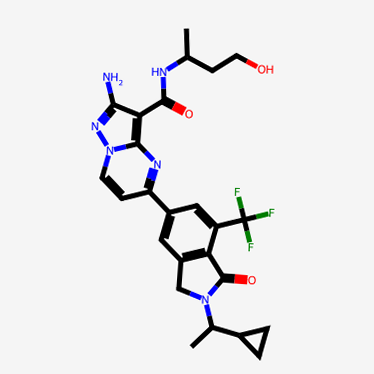 CC(CCO)NC(=O)c1c(N)nn2ccc(-c3cc4c(c(C(F)(F)F)c3)C(=O)N(C(C)C3CC3)C4)nc12